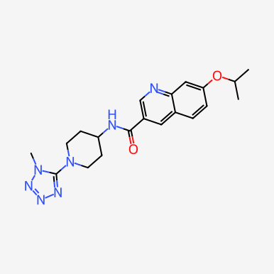 CC(C)Oc1ccc2cc(C(=O)NC3CCN(c4nnnn4C)CC3)cnc2c1